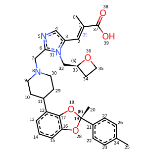 C/C(=C\c1cnc(CN2CCC(c3cccc4c3O[C@](C)(c3ccc(C)cc3)O4)CC2)n1C[C@@H]1CCO1)C(=O)O